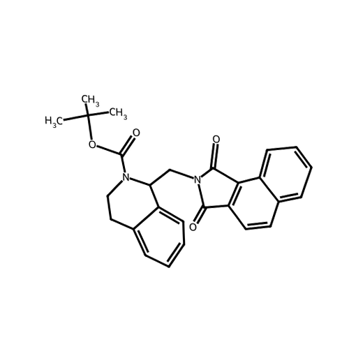 CC(C)(C)OC(=O)N1CCc2ccccc2C1CN1C(=O)c2ccc3ccccc3c2C1=O